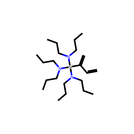 C=CC(=C)[Si](N(CCC)CCC)(N(CCC)CCC)N(CCC)CCC